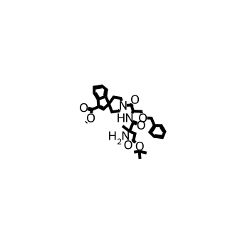 COC(=O)C1=CC2(CCN(C(=O)C(COCc3ccccc3)NC(=O)C(C)(N)CC(=O)OC(C)(C)C)CC2)c2ccccc21